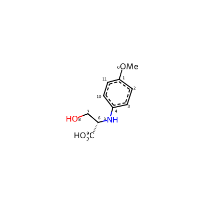 COc1ccc(N[C@@H](CO)C(=O)O)cc1